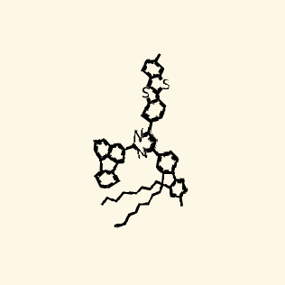 CCCCCCCCC1(CCCCCCCC)c2cc(C)ccc2-c2ccc(-c3cc(-c4ccc5c(c4)sc4c6ccc(C)cc6sc54)nc(-c4cc5c6c(cccc6c4)-c4ccccc4-5)n3)cc21